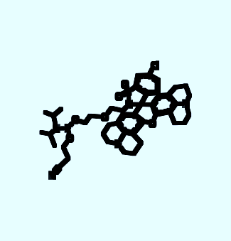 CC(C)N(C(C)C)P(OCCC#N)OCCOCCN1C2(c3ccc(Cl)cc3S1(=O)=O)c1cc3c4c(c1Oc1c2cc2c5c1CCCN5CCC2)CCCN4CCC3